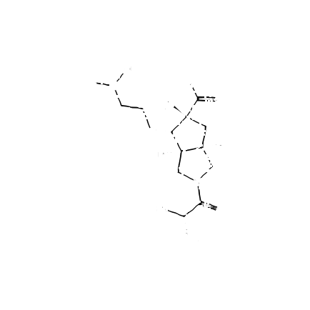 C[C@H](N)C(=O)N1C[C@@H]2C[C@@](N)(C(=O)O)[C@@H](CCCB(O)O)[C@@H]2C1